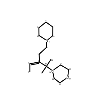 CC=C(CCN1CCCCC1)C(C)(C)N1CCOCC1